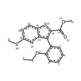 CCOc1ccccc1-c1c(C(=O)OC)sc2cnc(SC)nc12